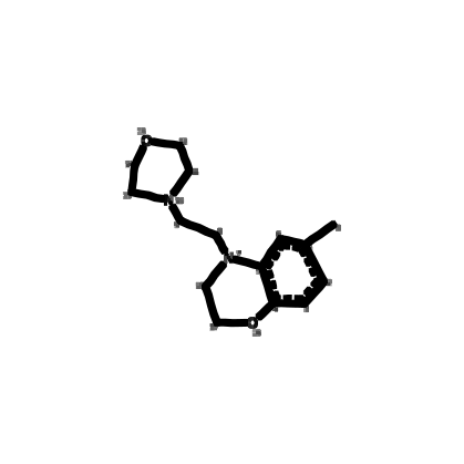 Cc1ccc2c(c1)N(CCN1CCOCC1)CCO2